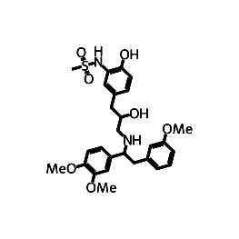 COc1cccc(CC(NCC(O)Cc2ccc(O)c(NS(C)(=O)=O)c2)c2ccc(OC)c(OC)c2)c1